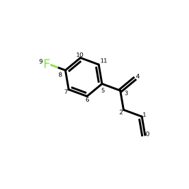 C=CCC(=C)c1ccc(F)cc1